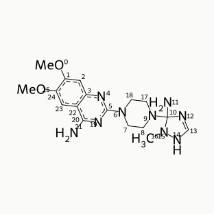 COc1cc2nc(N3CCN(C4(N)N=CNN4C)CC3)nc(N)c2cc1OC